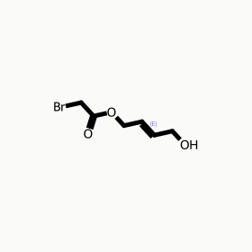 O=C(CBr)OC/C=C/CO